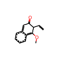 C=CC1C(=O)C=c2ccccc2=C1OC